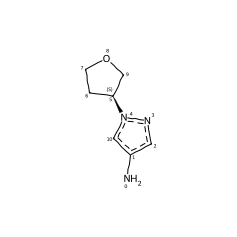 Nc1cnn([C@H]2CCOC2)c1